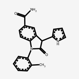 Cc1ccccc1N1C(=O)C(c2ccc[nH]2)c2cc(C(N)=O)ccc21